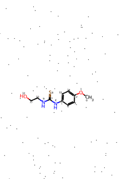 COc1ccc(NC(=S)NCCO)cc1